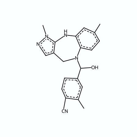 Cc1ccc2c(c1)Nc1c(cnn1C)CN2C(O)c1ccc(C#N)c(C)c1